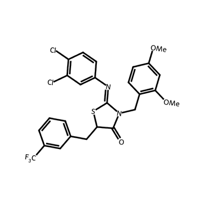 COc1ccc(CN2C(=O)C(Cc3cccc(C(F)(F)F)c3)SC2=Nc2ccc(Cl)c(Cl)c2)c(OC)c1